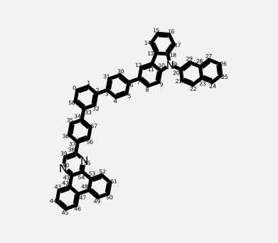 c1cc(-c2ccc(-c3ccc4c(c3)c3ccccc3n4-c3ccc4ccccc4c3)cc2)cc(-c2ccc(-c3cnc4c5ccccc5c5ccccc5c4n3)cc2)c1